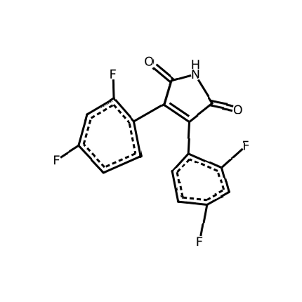 O=C1NC(=O)C(c2ccc(F)cc2F)=C1c1ccc(F)cc1F